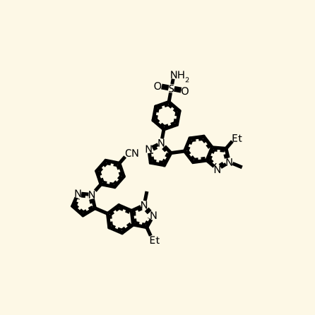 CCc1c2ccc(-c3ccnn3-c3ccc(S(N)(=O)=O)cc3)cc2nn1C.CCc1nn(C)c2cc(-c3ccnn3-c3ccc(C#N)cc3)ccc12